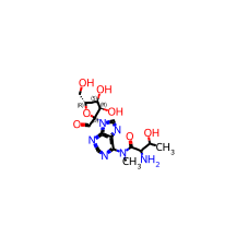 CC(O)C(N)C(=O)N(C)c1ncnc2c1ncn2[C@]1(C=O)O[C@H](CO)[C@@H](O)[C@H]1O